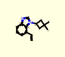 C=Cc1cccc2ncn(C3CC(C)(C)C3)c12